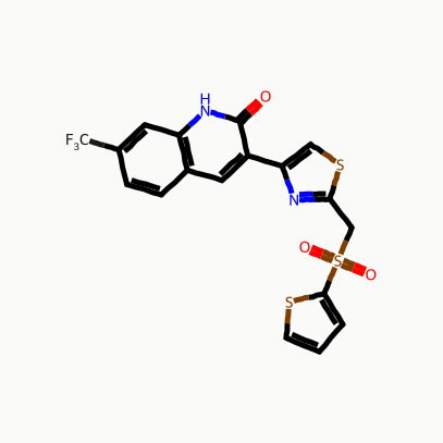 O=c1[nH]c2cc(C(F)(F)F)ccc2cc1-c1csc(CS(=O)(=O)c2cccs2)n1